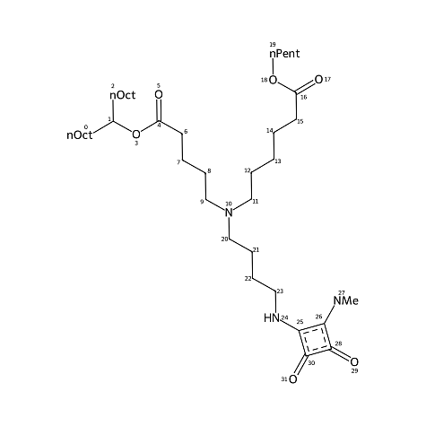 CCCCCCCCC(CCCCCCCC)OC(=O)CCCCN(CCCCCC(=O)OCCCCC)CCCCNc1c(NC)c(=O)c1=O